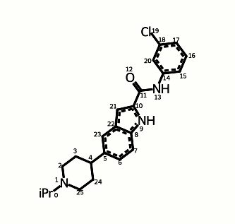 CC(C)N1CCC(c2ccc3[nH]c(C(=O)Nc4cccc(Cl)c4)cc3c2)CC1